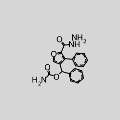 NNC(=O)c1occ(C(OC(N)=O)c2ccccc2)c1-c1ccccc1